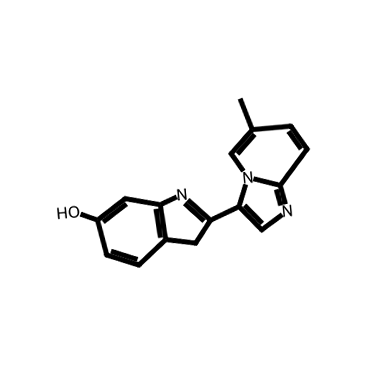 Cc1ccc2ncc(C3=Nc4cc(O)ccc4C3)n2c1